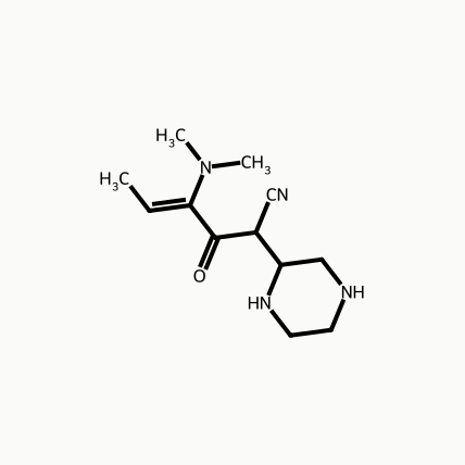 CC=C(C(=O)C(C#N)C1CNCCN1)N(C)C